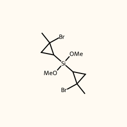 CO[Si](OC)(C1CC1(C)Br)C1CC1(C)Br